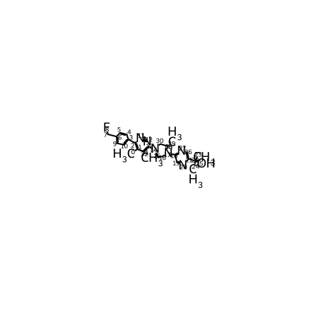 Cc1c(-c2ccc(CF)cc2)nnc(N2CCN(c3cnc(C(C)(C)O)cn3)[C@H](C)C2)c1C